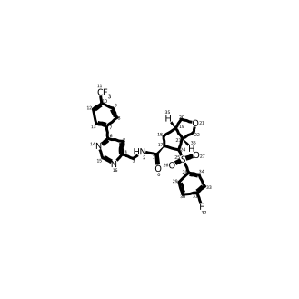 O=C(NCc1cc(-c2ccc(C(F)(F)F)cc2)ncn1)[C@H]1C[C@@H]2COC[C@@H]2C1S(=O)(=O)c1ccc(F)cc1